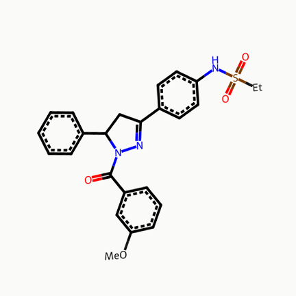 CCS(=O)(=O)Nc1ccc(C2=NN(C(=O)c3cccc(OC)c3)C(c3ccccc3)C2)cc1